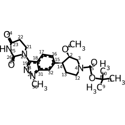 CO[C@H]1CN(C(=O)OC(C)(C)C)CC[C@H]1c1ccc2c(N3CCC(=O)NC3=O)nn(C)c2c1